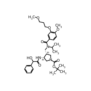 COCCCOc1cc(C(=O)N(C[C@@H]2CN(C(=O)OC(C)(C)C)C[C@@H]2NC(=O)C(O)c2ccccc2)C(C)C)ccc1OC